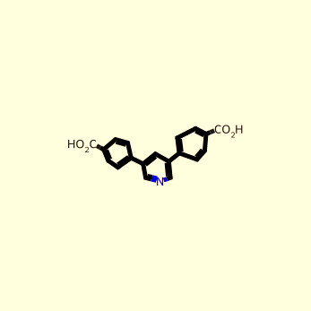 O=C(O)c1ccc(-c2cncc(-c3ccc(C(=O)O)cc3)c2)cc1